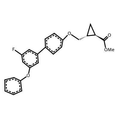 COC(=O)[C@@H]1C[C@H]1COc1ccc(-c2cc(F)cc(Oc3ccccc3)c2)cc1